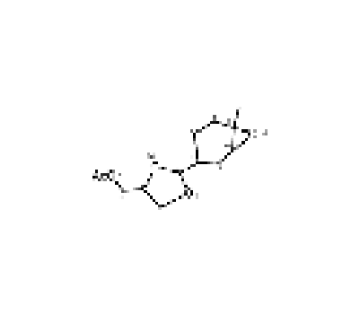 CC(=O)OCC1COC(C2CCC3(C)OC3C2)O1